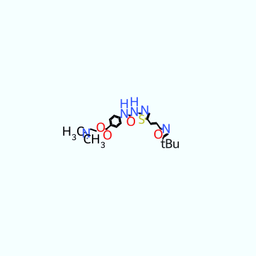 CN(C)CCOC(=O)c1ccc(NC(=O)Nc2ncc(/C=C/c3ncc(C(C)(C)C)o3)s2)cc1